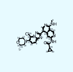 CNc1ncc(-c2nc3ccc(N4CCO[C@@H](C)C4)c(Cl)n3n2)c2cc(NC(=O)C3CC3)ncc12